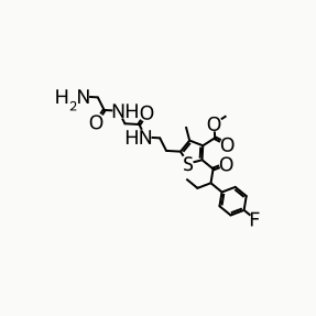 CCC(C(=O)c1sc(CCNC(=O)CNC(=O)CN)c(C)c1C(=O)OC)c1ccc(F)cc1